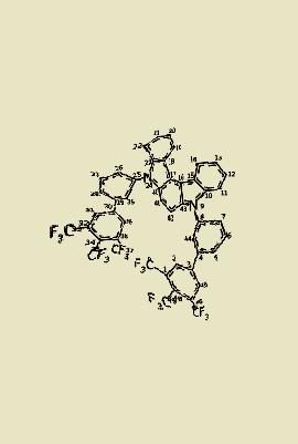 FC(F)(F)c1cc(-c2cccc(-n3c4ccccc4c4c5c6ccccc6n(-c6cccc(-c7cc(C(F)(F)F)c(C(F)(F)F)c(C(F)(F)F)c7)c6)c5ccc43)c2)cc(C(F)(F)F)c1C(F)(F)F